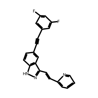 Fc1cc(F)cc(C#Cc2ccc3[nH]nc(/C=C/c4ccccn4)c3c2)c1